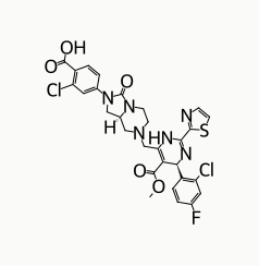 COC(=O)C1=C(CN2CCN3C(=O)N(c4ccc(C(=O)O)c(Cl)c4)C[C@@H]3C2)NC(c2nccs2)=N[C@H]1c1ccc(F)cc1Cl